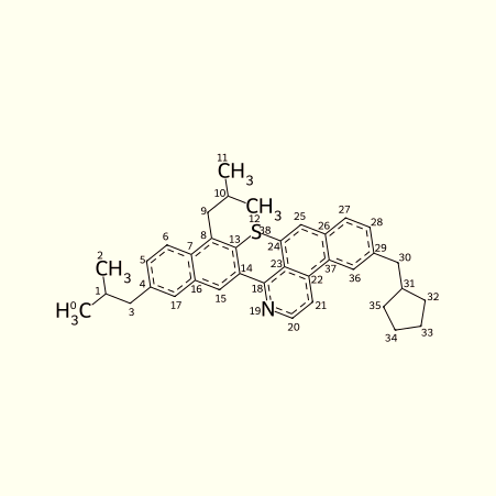 CC(C)Cc1ccc2c(CC(C)C)c3c(cc2c1)-c1nccc2c1c(cc1ccc(CC4CCCC4)cc12)S3